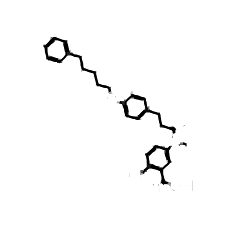 CN(C(=O)CCc1ccc(OCCCCCc2ccccc2)cc1)c1ccc(Cl)c(C(=O)O)c1